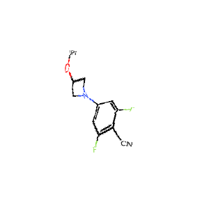 CC(C)OC1CN(c2cc(F)c(C#N)c(F)c2)C1